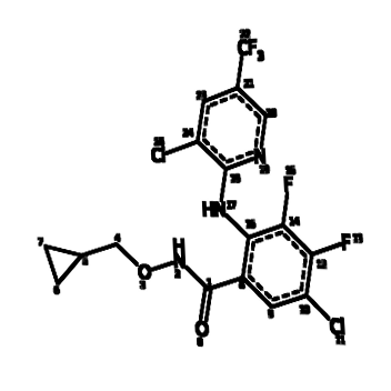 O=C(NOCC1CC1)c1cc(Cl)c(F)c(F)c1Nc1ncc(C(F)(F)F)cc1Cl